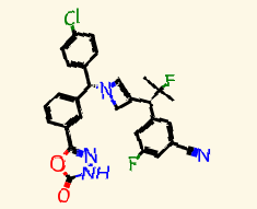 CC(C)(F)[C@H](C1=CN([C@@H](c2ccc(Cl)cc2)c2cccc(-c3n[nH]c(=O)o3)c2)C1)c1cc(F)cc(C#N)c1